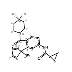 CC(C)C1(c2cc(NC(=O)C3CC3)ccc2C(=O)N2CCC(F)(F)CC2)C=CN=N1